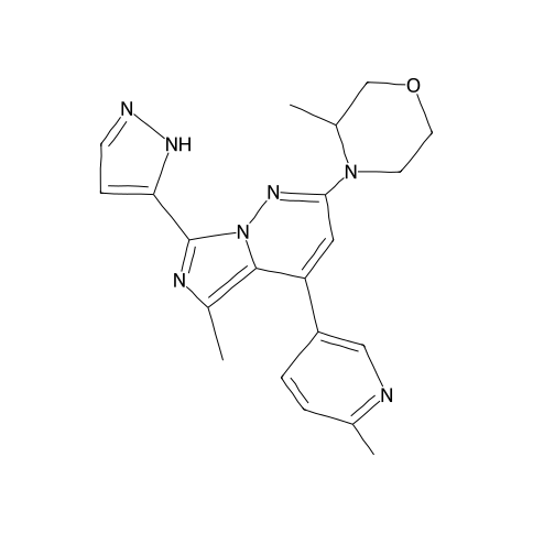 Cc1ccc(-c2cc(N3CCOCC3C)nn3c(-c4ccn[nH]4)nc(C)c23)cn1